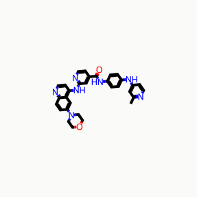 Cc1cc(Nc2ccc(NC(=O)c3ccnc(Nc4ccnc5ccc(N6CCOCC6)cc45)c3)cc2)ccn1